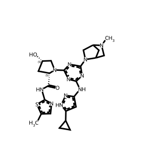 Cc1cnc(NC(=O)[C@@H]2C[C@H](O)CN2c2nc(Nc3cc(C4CC4)[nH]n3)nc(N3CC4CC3CN4C)n2)s1